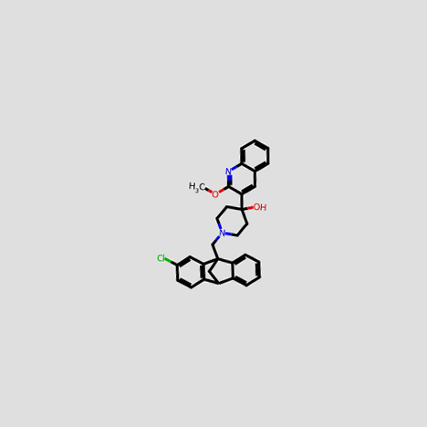 COc1nc2ccccc2cc1C1(O)CCN(CC23CC(c4ccccc42)c2ccc(Cl)cc23)CC1